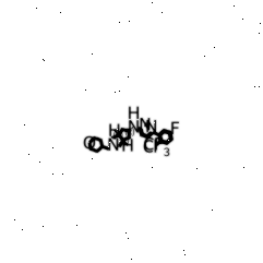 Fc1ccc(Cl)c(-c2nnc(N[C@@H]3C[C@@H]4CN(CC5CCOCC5)C[C@@H]4C3)cc2C(F)(F)F)c1